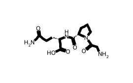 NCC(=O)N1CCC[C@H]1C(=O)N[C@@H](CCC(N)=O)C(=O)O